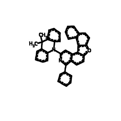 CC1(C)c2ccccc2N(c2cc3c(ccc4oc5ccc6ccccc6c5c43)c(-c3ccccc3)n2)c2ccccc21